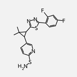 CC1(C)C(c2ccc(SN)nc2)C1c1nnc(-c2ccc(F)cc2F)s1